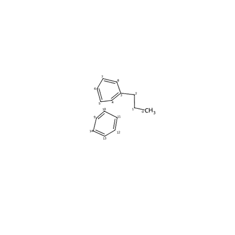 CCCc1cc[c]cc1.[c]1ccccc1